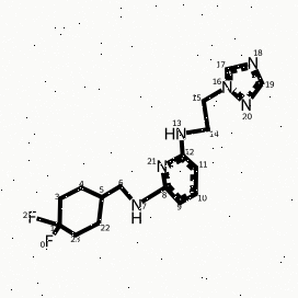 FC1(F)CCC(CNc2cccc(NCCn3cncn3)n2)CC1